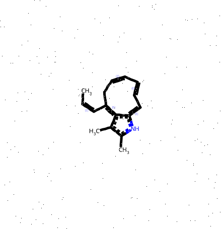 C\C=C/C1=c2\c(C)c(C)[nH]\c2=C\C=C\C=C/C1